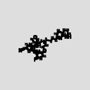 CCC(C=O)(CCN(CCCCc1ccc2c(n1)NCCC2)CCOc1ccc(F)cc1)Nc1ncc(C#N)c[n+]1O